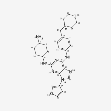 NC1CCC(Nc2nc(Nc3ccc(CN4CCOCC4)cc3)c3ncn(-c4ccoc4)c3n2)CC1